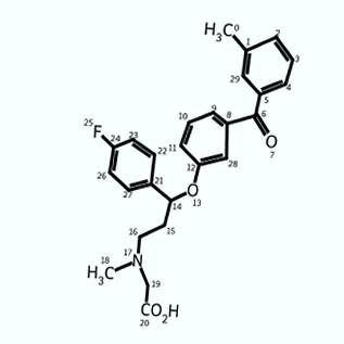 Cc1cccc(C(=O)c2cccc(OC(CCN(C)CC(=O)O)c3ccc(F)cc3)c2)c1